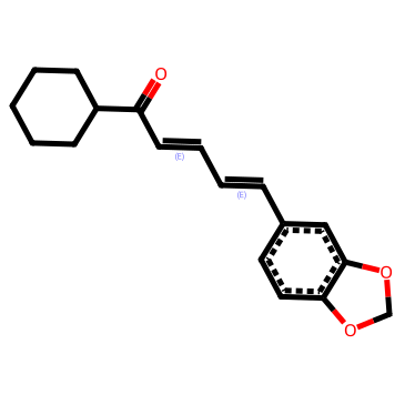 O=C(/C=C/C=C/c1ccc2c(c1)OCO2)C1CCCCC1